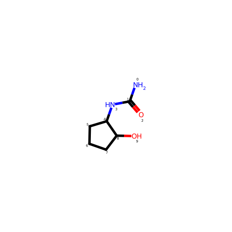 NC(=O)NC1CCCC1O